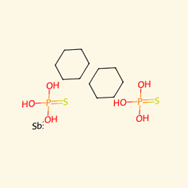 C1CCCCC1.C1CCCCC1.OP(O)(O)=S.OP(O)(O)=S.[Sb]